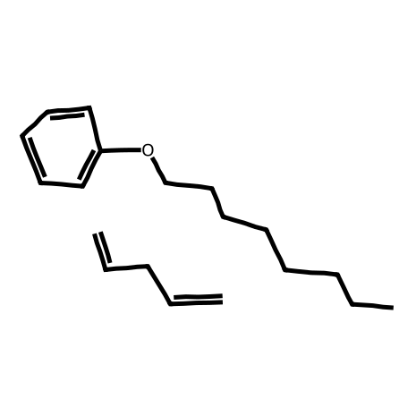 C=CCC=C.CCCCCCCCOc1ccccc1